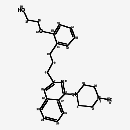 CCN1CCN(c2nc(CCCc3ccccc3OCCO)cc3ccccc23)CC1